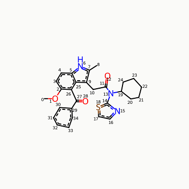 COc1ccc2[nH]c(C)c(CC(=O)N(c3nccs3)C3CCCCC3)c2c1C(=O)c1ccccc1